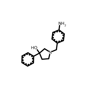 Nc1ccc(CN2CCC(O)(c3ccccc3)C2)cc1